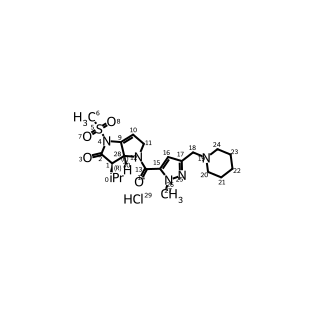 CC(C)[C@H]1C(=O)N(S(C)(=O)=O)C2=CCN(C(=O)c3cc(CN4CCCCC4)nn3C)[C@@H]21.Cl